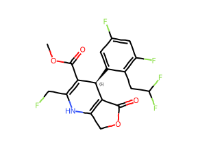 COC(=O)C1=C(CF)NC2=C(C(=O)OC2)[C@@H]1c1cc(F)cc(F)c1CC(F)F